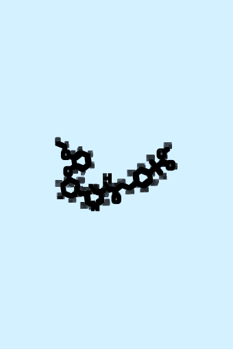 CCOc1ccccc1O[C@@H]1CCCN(c2cncc(NC(=O)CCc3ccc(C(C)(C)C(=O)OC)cc3)n2)C1